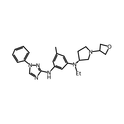 CCN(c1cc(C)cc(Nc2ncn(-c3ccccc3)n2)c1)[C@H]1CCN(C2COC2)C1